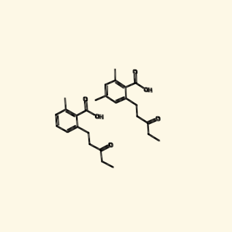 CCC(=O)CCc1cc(C)cc(C)c1C(=O)O.CCC(=O)CCc1cccc(C)c1C(=O)O